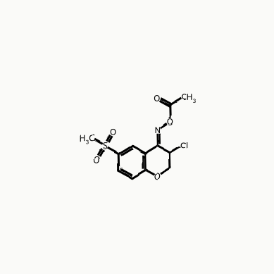 CC(=O)O/N=C1/c2cc(S(C)(=O)=O)ccc2OCC1Cl